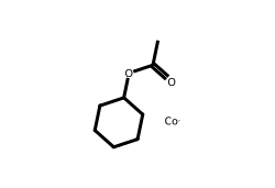 CC(=O)OC1CCCCC1.[Co]